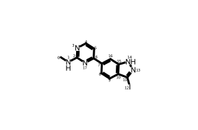 CNc1nccc(-c2ccc3c(I)n[nH]c3c2)n1